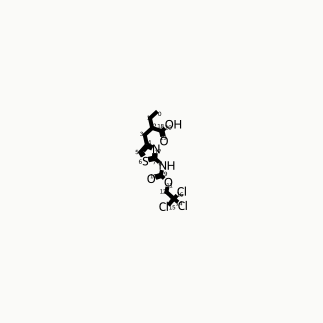 CCC(Cc1csc(NC(=O)OCC(Cl)(Cl)Cl)n1)C(=O)O